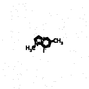 Cc1ccc2n(cc[n+]2C)c1.[I-]